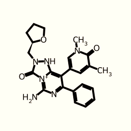 Cc1cc(-c2c(-c3ccccc3)nc(N)[n+]3c(=O)n(C[C@H]4CCCO4)[nH]c23)cn(C)c1=O